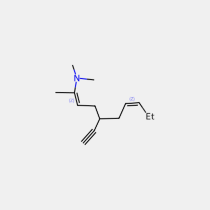 C#CC(C/C=C\CC)C/C=C(/C)N(C)C